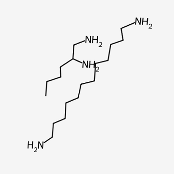 CCCCC(N)CN.NCCCCCCCCCCCCN